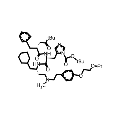 CCOCCOc1ccc(CCN(C)CC[C@H](CC2CCCCC2)NC(=O)[C@H](Cc2cncn2C(=O)OC(C)(C)C)NC(=O)[C@@H](CC(=O)C(C)(C)C)Cc2ccccc2)cc1